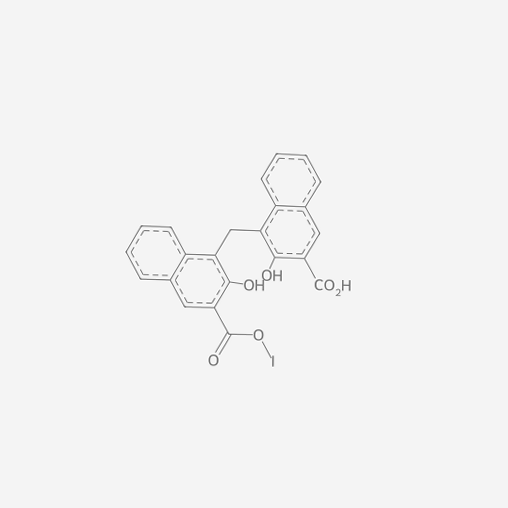 O=C(O)c1cc2ccccc2c(Cc2c(O)c(C(=O)OI)cc3ccccc23)c1O